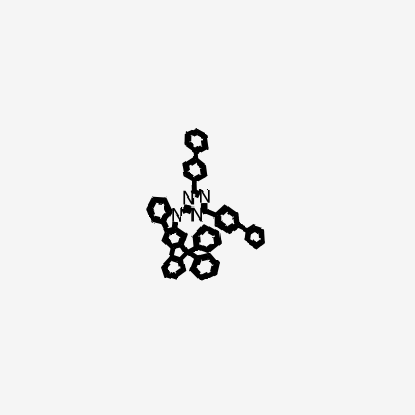 c1ccc(-c2ccc(-c3nc(-c4ccc(-c5ccccc5)cc4)nc(-n4c5ccccc5c5cc6c(cc54)C(c4ccccc4)(c4ccccc4)c4ccccc4-6)n3)cc2)cc1